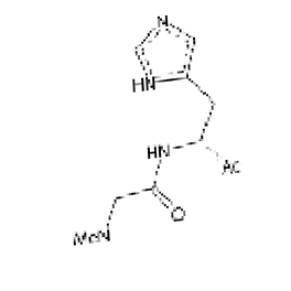 CNCC(=O)N[C@H](Cc1cnc[nH]1)C(C)=O